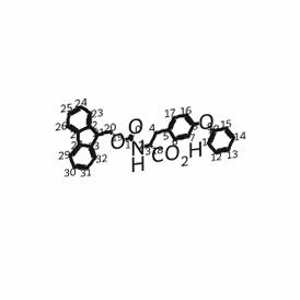 O=C(N[C@@H](Cc1ccc(Oc2ccccc2)cc1)C(=O)O)OCC1c2ccccc2-c2ccccc21